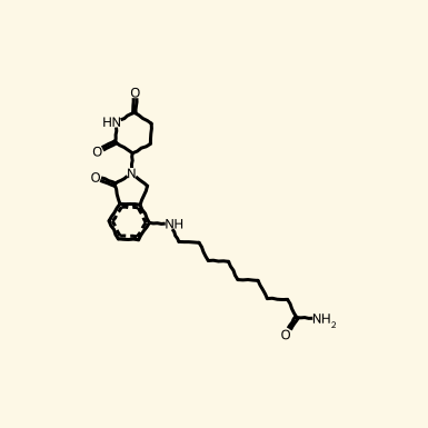 NC(=O)CCCCCCCCNc1cccc2c1CN(C1CCC(=O)NC1=O)C2=O